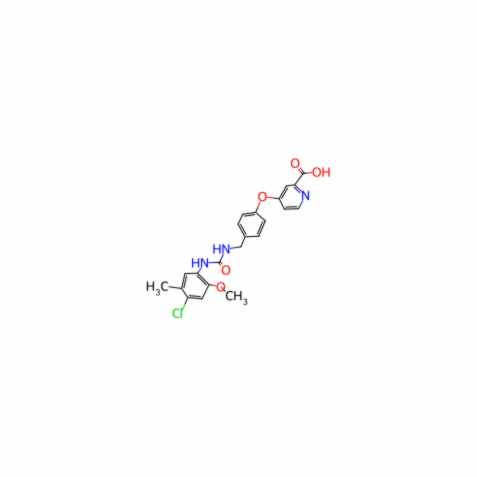 COc1cc(Cl)c(C)cc1NC(=O)NCc1ccc(Oc2ccnc(C(=O)O)c2)cc1